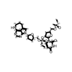 CSP(C)(=O)OC[C@@H]1C[C@@H](OP(=O)(OC[C@@H]2CC[C@H](n3cc4c5c(ncnc53)NCCC4)O2)SC)[C@H](n2ccc(=O)[nH]c2=O)O1